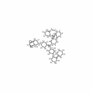 C1=Cc2cccc3c4ccc(N(c5ccc(-c6ccc7ocnc7c6)cc5)c5cccc(-c6ccccc6-c6ccccc6)c5)cc4n(c23)-c2ccccc21